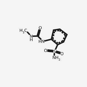 CNC(=O)Nc1ccccc1S(N)(=O)=O